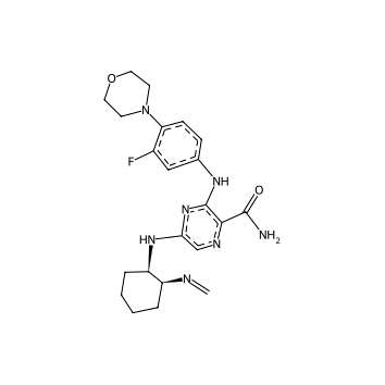 C=N[C@H]1CCCC[C@H]1Nc1cnc(C(N)=O)c(Nc2ccc(N3CCOCC3)c(F)c2)n1